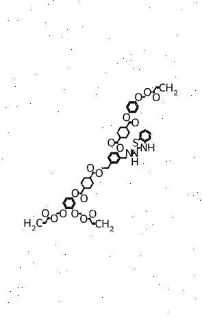 C=CC(=O)OCOc1ccc(OC(=O)C2CCC(C(=O)Oc3ccc(CCOC(=O)C4CCC(C(=O)Oc5ccc(OCOC(=O)C=C)c(OCOC(=O)C=C)c5)CC4)cc3/C=N/NC3Nc4ccccc4S3)CC2)cc1